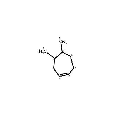 CC1CC=CCCC1C